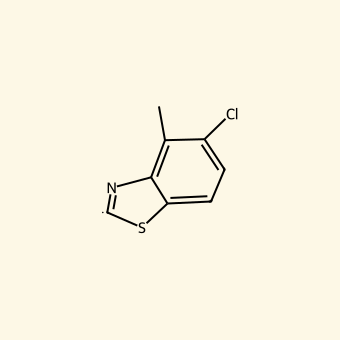 Cc1c(Cl)ccc2s[c]nc12